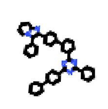 c1ccc(-c2ccc(-c3nc(-c4ccccc4)nc(-c4cccc(-c5ccc(-c6nc7ccccn7c6-c6ccccc6)cc5)c4)n3)cc2)cc1